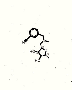 C[C@@H]1O[C@H](CN(C)Cc2cccc(C#N)c2)[C@H](O)C1O